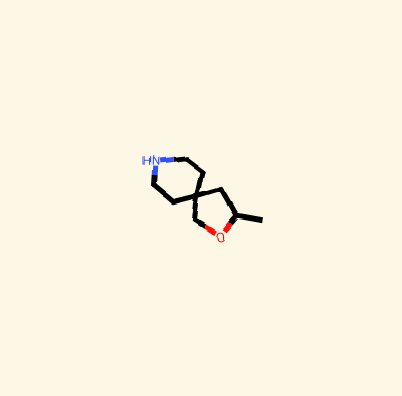 CC1CC2(CCNCC2)CO1